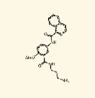 COc1ccc(NC(=O)c2nccc3ccccc23)cc1C(=O)NCCCN